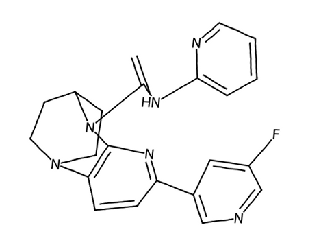 C=C(Nc1ccccn1)N1c2nc(-c3cncc(F)c3)ccc2N2CCC1CC2